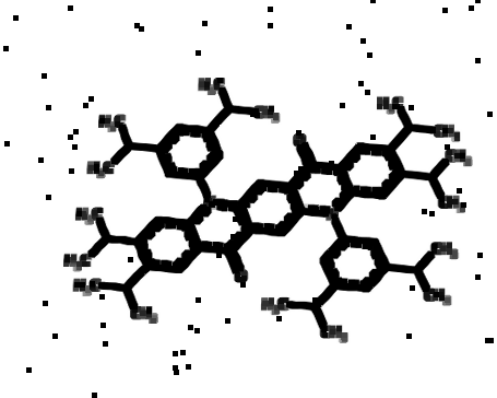 CC(C)c1cc(C(C)C)cc(-n2c3cc(C(C)C)c(C(C)C)cc3c(=O)c3cc4c(cc32)c(=O)c2cc(C(C)C)c(C(C)C)cc2n4-c2cc(C(C)C)cc(C(C)C)c2)c1